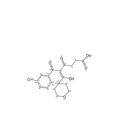 O=C(O)CCC(=O)C1=C(O)C2(CCOCC2)c2ccc(Cl)cc2C1=O